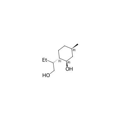 CCC(CO)[C@@H]1CC[C@@H](C)C[C@H]1O